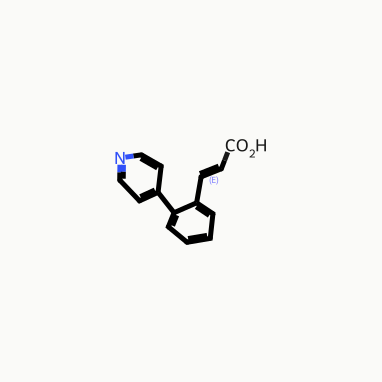 O=C(O)/C=C/c1ccccc1-c1ccncc1